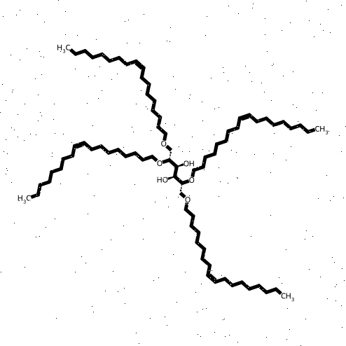 CCCCCCCC/C=C\CCCCCCCCOC[C@@H](OCCCCCCCC/C=C\CCCCCCCC)[C@@H](O)[C@H](O)[C@@H](COCCCCCCCC/C=C\CCCCCCCC)OCCCCCCCC/C=C\CCCCCCCC